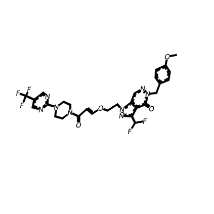 COc1ccc(Cn2ncc3c(c(C(F)F)nn3CCOC=CC(=O)N3CCN(c4ncc(C(F)(F)F)cn4)CC3)c2=O)cc1